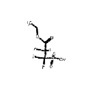 CCOC(=O)C(F)(F)C(F)(F)S(=O)(=O)O